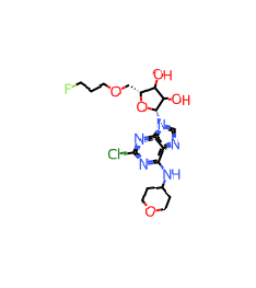 OC1C(O)[C@@H](COCCCF)O[C@H]1n1cnc2c(NC3CCOCC3)nc(Cl)nc21